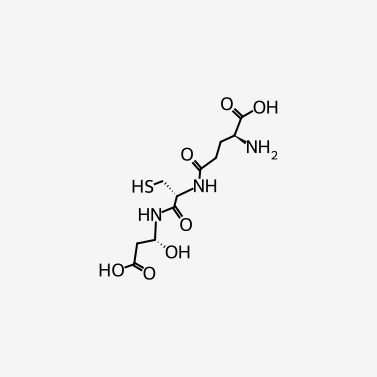 N[C@@H](CCC(=O)N[C@@H](CS)C(=O)N[C@H](O)CC(=O)O)C(=O)O